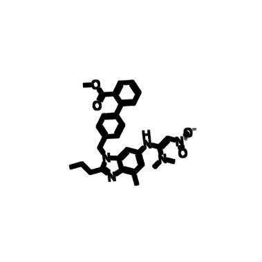 CCCc1nc2c(C)cc(NC(=C[N+](=O)[O-])N(C)C)cc2n1Cc1ccc(-c2ccccc2C(=O)OC)cc1